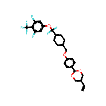 C=CC1COC(c2ccc(OCC3CCC(C(F)(F)Oc4cc(F)c(C(F)(F)F)c(F)c4)CC3)cc2)OC1